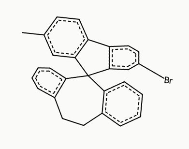 Cc1ccc2c(c1)C1(c3ccccc3CCc3ccccc31)c1cc(Br)ccc1-2